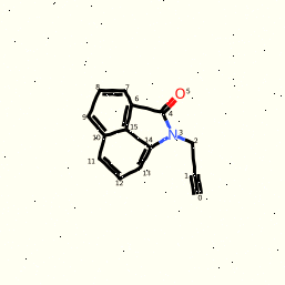 C#CCN1C(=O)c2cccc3cccc1c23